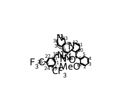 COc1ccccc1C(=O)c1cccnc1-c1nnn(Cc2cc(C(F)(F)F)cc(C(F)(F)F)c2)c1-c1ccncc1